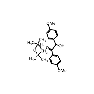 COc1ccc(C(=O)C(O)c2ccc(OC)cc2)cc1.C[Si](C)(C)O[Si](C)(C)C